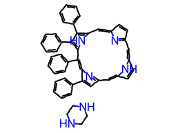 C1=Cc2cc3[nH]c(c(-c4ccccc4)c4nc(cc5ccc(cc1n2)[nH]5)C=C4c1ccccc1)c(-c1ccccc1)c3-c1ccccc1.C1CNCCN1